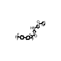 O=C(c1cscn1)N1CCC(NC2CN(C(=O)c3sc4cc(-c5ccc(C(F)(F)F)cc5)ccc4c3F)C2)C1